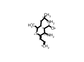 C=C/C=C(/SC(C)CCC(C)N)C(N)CCCl